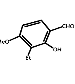 CCc1c(OC)ccc(C=O)c1O